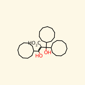 O=C(O)C(=C(O)C1CCCCCCCCC1)C(O)(C1CCCCCCCCC1)C1CCCCCCCCC1